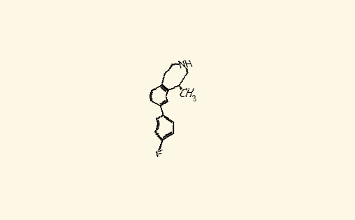 C[C@@H]1CNCCc2ccc(-c3ccc(F)cc3)cc21